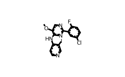 COc1cnc(-c2cc(Cl)ccc2F)nc1Nc1ccncc1I